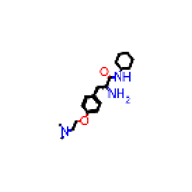 CN(C)CCOc1ccc(C[C@H](N)C(=O)NC2CCCCC2)cc1